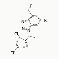 CC(c1ccc(Cl)cc1Cl)n1nnc2c(CF)cc(Br)cc21